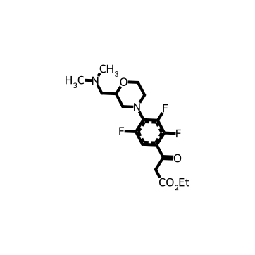 CCOC(=O)CC(=O)c1cc(F)c(N2CCOC(CN(C)C)C2)c(F)c1F